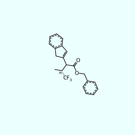 C[C@H](C(C(=O)OCc1ccccc1)C1=Cc2ccccc2C1)C(F)(F)F